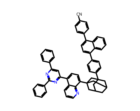 N#Cc1ccc(-c2ccc(-c3ccc(C45CC6CC(C4)CC(c4ccc(-c7cc(-c8ccccc8)nc(-c8ccccc8)n7)c7cccnc47)(C6)C5)cc3)c3ccccc23)cc1